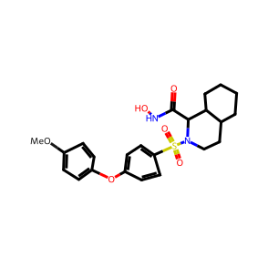 COc1ccc(Oc2ccc(S(=O)(=O)N3CCC4CCCCC4C3C(=O)NO)cc2)cc1